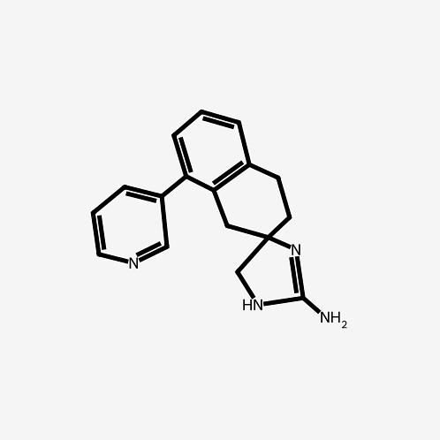 NC1=NC2(CCc3cccc(-c4cccnc4)c3C2)CN1